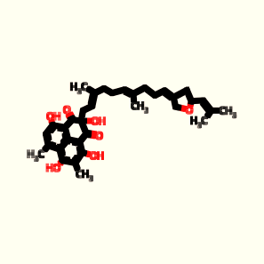 CC(C)=CC1C/C(=C/CC/C(C)=C/CC/C(C)=C/CC2(O)C(=O)c3c(O)cc(C)c4c(O)c(C)c(O)c(c34)C2=O)CO1